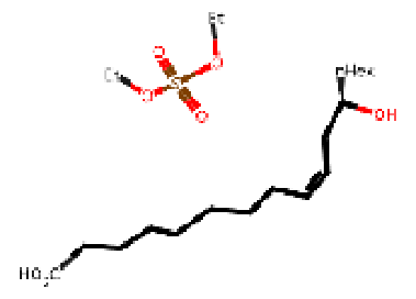 CCCCCC[C@@H](O)C/C=C\CCCCCCCC(=O)O.CCOS(=O)(=O)OCC